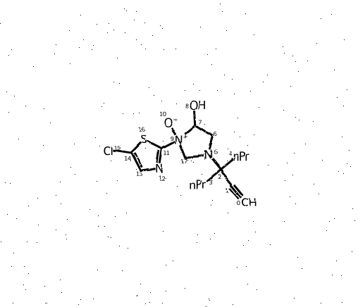 C#CC(CCC)(CCC)N1CC(O)[N+]([O-])(c2ncc(Cl)s2)C1